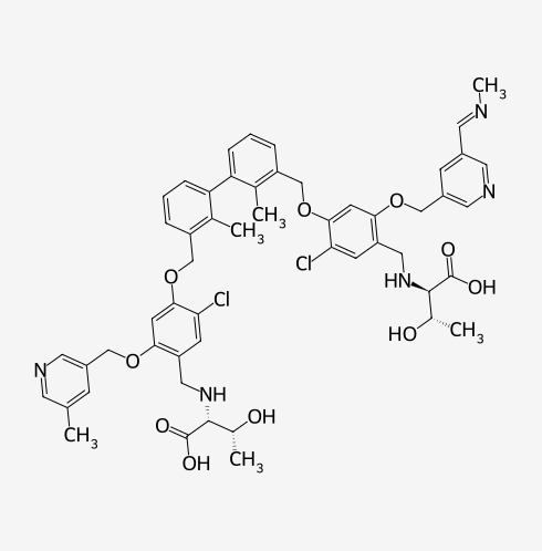 C/N=C/c1cncc(COc2cc(OCc3cccc(-c4cccc(COc5cc(OCc6cncc(C)c6)c(CN[C@@H](C(=O)O)[C@@H](C)O)cc5Cl)c4C)c3C)c(Cl)cc2CN[C@@H](C(=O)O)[C@H](C)O)c1